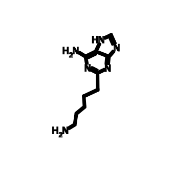 NCCCCCc1nc(N)c2[nH]cnc2n1